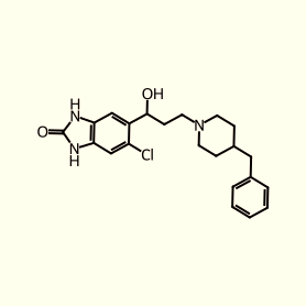 O=c1[nH]c2cc(Cl)c(C(O)CCN3CCC(Cc4ccccc4)CC3)cc2[nH]1